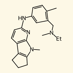 CCN(C)Cc1cc(Nc2ccc3c4c(n(C)c3n2)CCC4)ccc1C